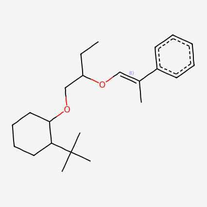 CCC(COC1CCCCC1C(C)(C)C)O/C=C(\C)c1ccccc1